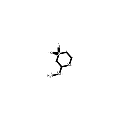 NNC1CS(=O)(=O)CCN1